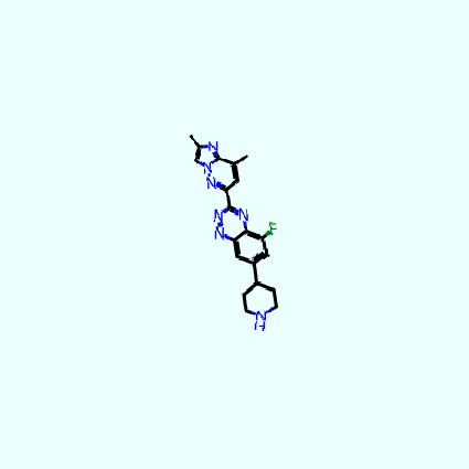 Cc1cn2nc(-c3nnc4cc(C5CCNCC5)cc(F)c4n3)cc(C)c2n1